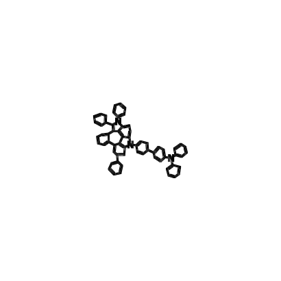 c1ccc(-c2cc3c4c5c6c(c(-c7ccccc7)n(-c7ccccc7)c6ccc5n(-c5ccc(-c6ccc(N(c7ccccc7)c7ccccc7)cc6)cc5)c4c2)-c2ccccc2-3)cc1